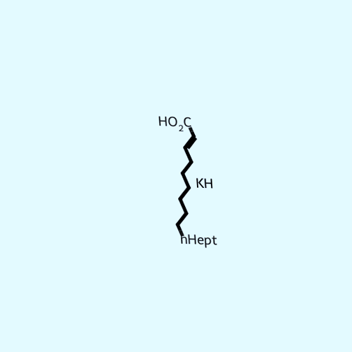 CCCCCCCCCCCCCC=CC(=O)O.[KH]